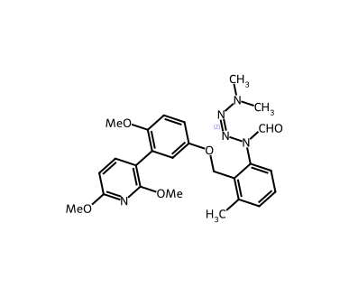 COc1ccc(-c2cc(OCc3c(C)cccc3N(C=O)/N=N\N(C)C)ccc2OC)c(OC)n1